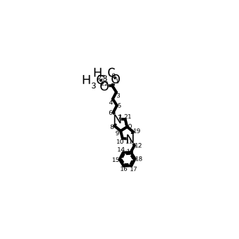 COC(CCCCN1CC2CN(Cc3ccccc3)CC2C1)OC